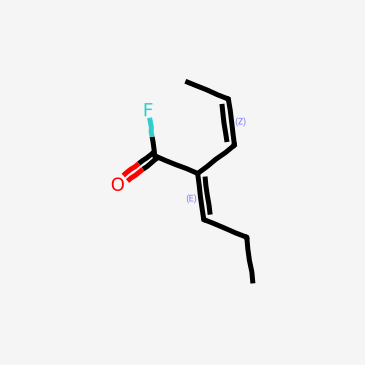 C/C=C\C(=C/CC)C(=O)F